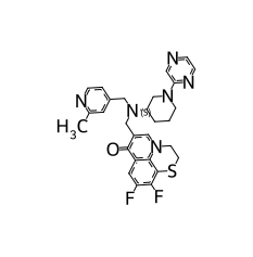 Cc1cc(CN(Cc2cn3c4c(c(F)c(F)cc4c2=O)SCC3)[C@H]2CCCN(c3cnccn3)C2)ccn1